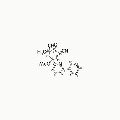 COC1(c2cccc(-c3cccnc3)n2)C=C(C#N)C(=O)C(C)(C)C1